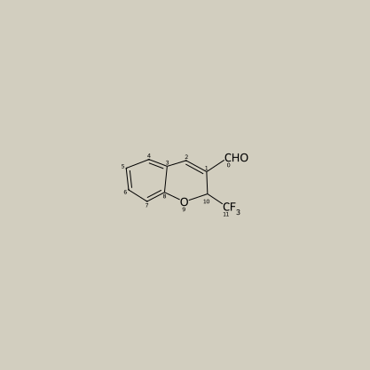 O=CC1=Cc2ccccc2OC1C(F)(F)F